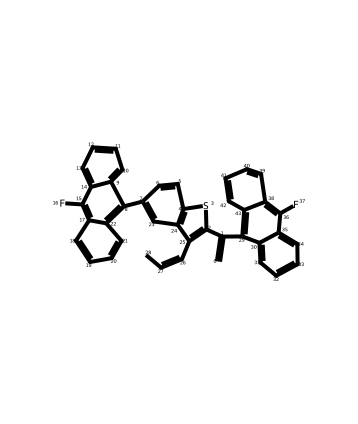 C=C(c1sc2ccc(-c3c4ccccc4c(F)c4ccccc34)cc2c1/C=C\C)c1c2ccccc2c(F)c2ccccc12